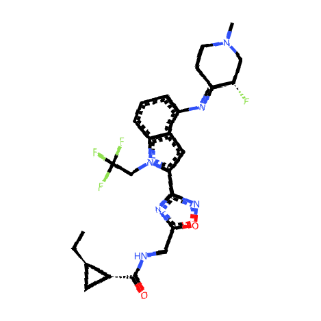 CC[C@@H]1C[C@H]1C(=O)NCc1nc(-c2cc3c(/N=C4\CCN(C)C[C@@H]4F)cccc3n2CC(F)(F)F)no1